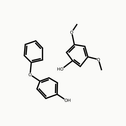 COc1cc(O)cc(OC)c1.Oc1ccc(Oc2ccccc2)cc1